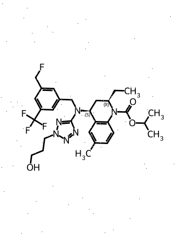 CC[C@@H]1C[C@H](N(Cc2cc(CF)cc(C(F)(F)F)c2)c2nnn(CCCO)n2)c2cc(C)ccc2N1C(=O)OC(C)C